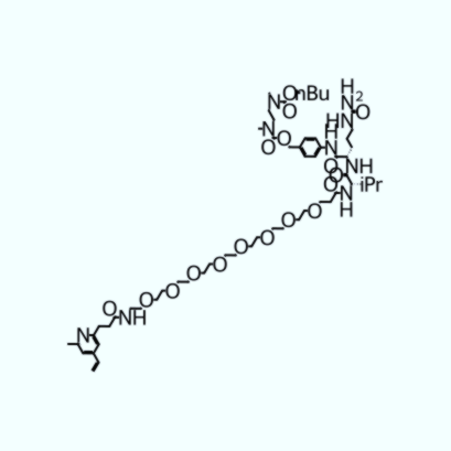 C=Cc1cc(C)nc(CCC(=O)NCCOCCOCCOCCOCCOCCOCCOCCOCCC(=O)N[C@H](C(=O)N[C@@H](CCCNC(N)=O)C(=O)Nc2ccc(COC(=O)N(C)CCN(C)C(=O)OCCCC)cc2)C(C)C)c1